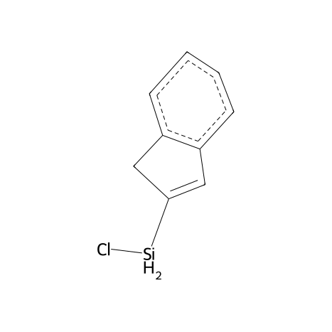 Cl[SiH2]C1=Cc2ccccc2C1